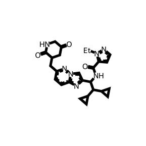 CCn1nccc1C(=O)NC(c1cn2nc(CC3CC(=O)CNC3=O)ccc2n1)C(C1CC1)C1CC1